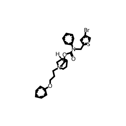 O=C(O[C@H]1C[N+]2(CCCOc3ccccc3)CCC1CC2)N(Cc1cc(Br)cs1)c1ccccc1